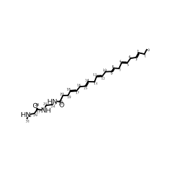 CCC=CCC=CCC=CCC=CCC=CCC=CCCC(=O)NCCNC(=O)CNC